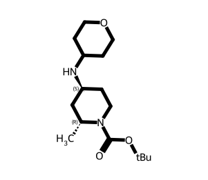 C[C@@H]1C[C@@H](NC2CCOCC2)CCN1C(=O)OC(C)(C)C